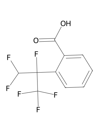 O=C(O)c1ccccc1C(F)(C(F)F)C(F)(F)F